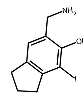 NCc1cc2c(c(I)c1O)CCC2